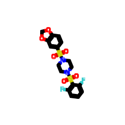 O=S(=O)(c1ccc2c(c1)OCO2)N1CCN(S(=O)(=O)c2c(F)cccc2F)CC1